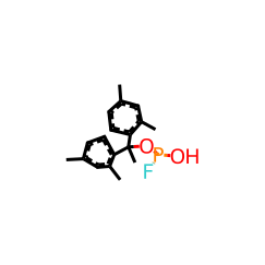 Cc1ccc(C(C)(OP(O)F)c2ccc(C)cc2C)c(C)c1